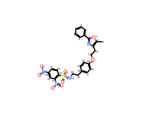 Cc1oc(-c2ccccc2)nc1CCOc1ccc(CCNS(=O)(=O)c2ccc([N+](=O)[O-])cc2[N+](=O)[O-])cc1